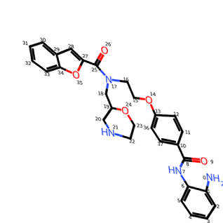 Nc1ccccc1NC(=O)c1ccc(OCCN(CC2CNCCO2)C(=O)c2cc3ccccc3o2)cc1